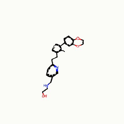 Cc1c(CCc2ccc(CNCCO)cn2)cccc1-c1ccc2c(c1)OCCO2